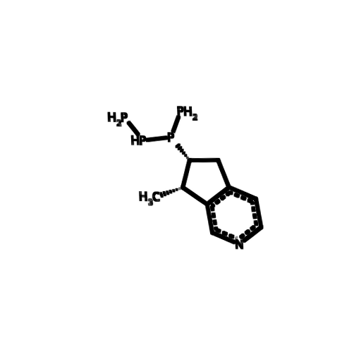 C[C@H]1c2cnccc2C[C@H]1P(P)PP